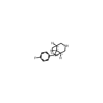 Fc1ccc(N[C@H]2[C@@H]3CNC[C@H]2COC3)cc1